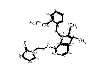 Cc1c(C)n(Cc2ccccc2Cl)c2c(OCCN3CCCC3=O)nccc12.Cl